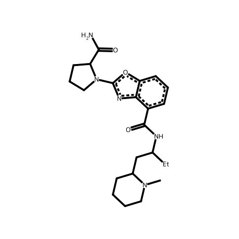 CCC(CC1CCCCN1C)NC(=O)c1cccc2oc(N3CCCC3C(N)=O)nc12